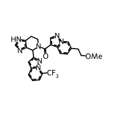 COCCc1ccc2c(C(=O)N3CCc4[nH]cnc4C3c3cc4cccc(C(F)(F)F)n4n3)cnn2c1